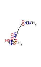 CN1CCN(C(=O)OCC#CC#Cc2cc3n(c2)C(=O)N(CCC(C)(C(=O)NO)S(C)(=O)=O)C3)CC1